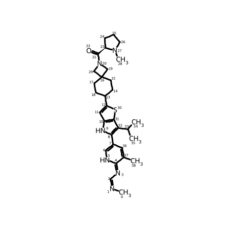 C/N=C\N=c1/[nH]cc(-c2[nH]c3cc(C4CCC5(CC4)CN(C(=O)[C@H]4CCCN4C)C5)sc3c2C(C)C)cc1C